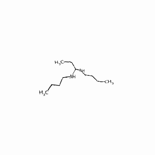 CCC[CH]NC(CC)NCCCC